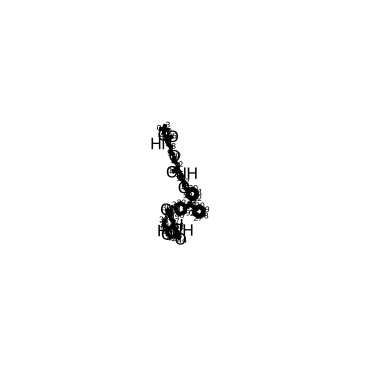 CC(C)(C)OC(=O)NCCOCCC(=O)NCCOc1cccc([C@@H](c2ccccc2)C2CCN(C(=O)N3CC[C@@H]4OCC(=O)N[C@@H]4C3)CC2)c1